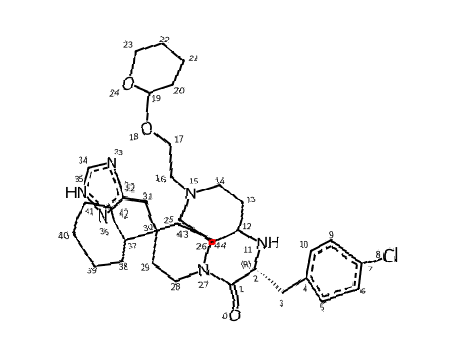 O=C([C@@H](Cc1ccc(Cl)cc1)NC1CCN(CCOC2CCCCO2)CC1)N1CCC(Cc2nc[nH]n2)(C2CCCCC2)CC1